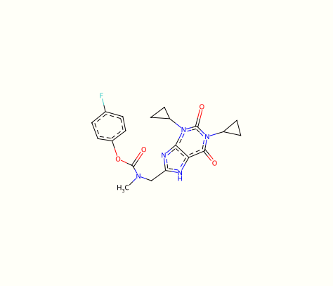 CN(Cc1nc2c([nH]1)c(=O)n(C1CC1)c(=O)n2C1CC1)C(=O)Oc1ccc(F)cc1